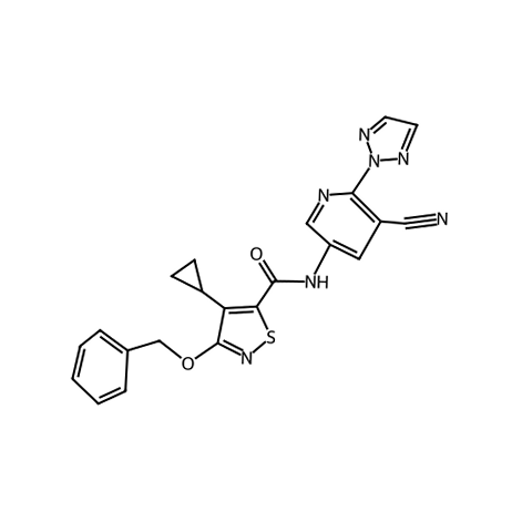 N#Cc1cc(NC(=O)c2snc(OCc3ccccc3)c2C2CC2)cnc1-n1nccn1